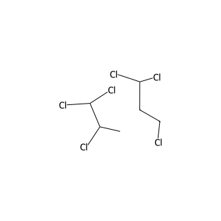 CC(Cl)C(Cl)Cl.ClCCC(Cl)Cl